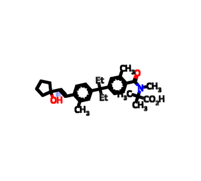 CCC(CC)(c1ccc(/C=C/C2(O)CCCC2)c(C)c1)c1ccc(C(=O)N(C)C(C)(C)C(=O)O)c(C)c1